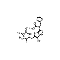 CC(F)C(Cc1sc2c(N(Cc3cccs3)C(=O)OC(C)(C)C)snc2c1Br)NC(=O)OC(C)(C)C